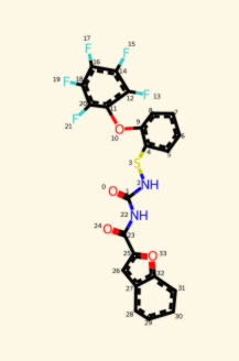 O=C(NSc1ccccc1Oc1c(F)c(F)c(F)c(F)c1F)NC(=O)c1cc2ccccc2o1